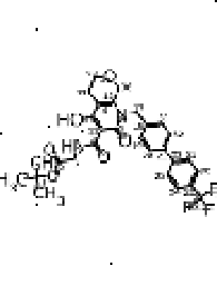 CC(C)(C)OC(=O)CNC(=O)c1c(O)c2c(n(Cc3ccc(-c4ccc(C(F)(F)F)cc4)cc3)c1=O)COCC2